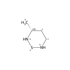 C[C@@H]1CCNSN1